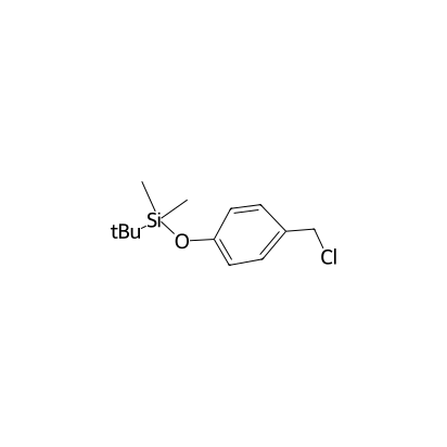 CC(C)(C)[Si](C)(C)Oc1ccc(CCl)cc1